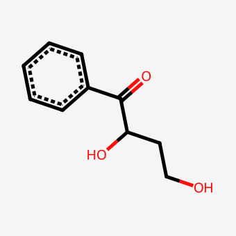 O=C(c1ccccc1)C(O)CCO